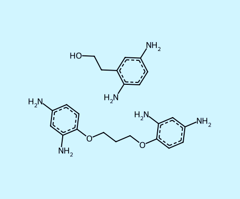 Nc1ccc(N)c(CCO)c1.Nc1ccc(OCCCOc2ccc(N)cc2N)c(N)c1